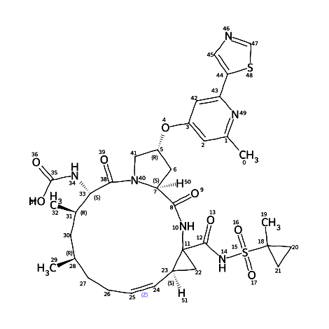 Cc1cc(O[C@@H]2C[C@H]3C(=O)NC4(C(=O)NS(=O)(=O)C5(C)CC5)C[C@H]4/C=C\CC[C@@H](C)C[C@@H](C)[C@H](NC(=O)O)C(=O)N3C2)cc(-c2cncs2)n1